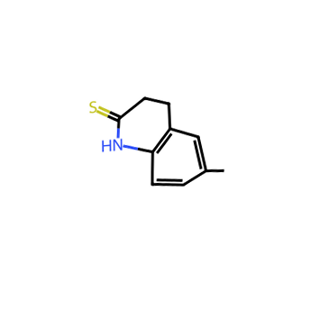 Cc1ccc2c(c1)CCC(=S)N2